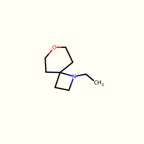 CCN1CCC12CCOCC2